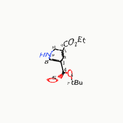 CCOC(=O)C1=CC(C(=O)OC(C)(C)C)=CNC1